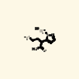 Br.CCCC(C(=O)O)c1ccnn1C